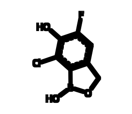 OB1OCc2cc(F)c(O)c(Cl)c21